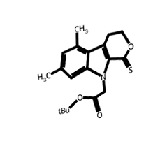 Cc1cc(C)c2c3c(n(CC(=O)OC(C)(C)C)c2c1)C(=S)OCC3